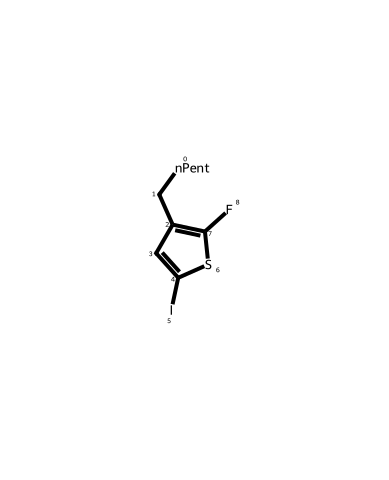 CCCCCCc1cc(I)sc1F